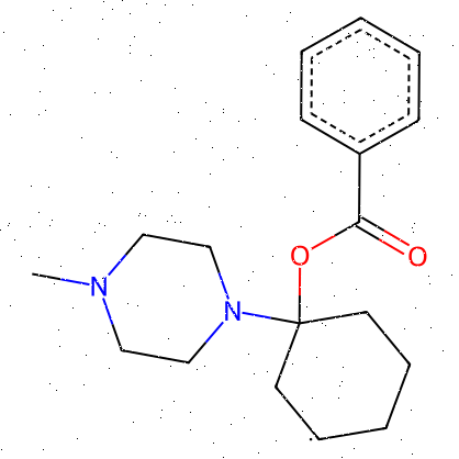 CN1CCN(C2(OC(=O)c3ccccc3)C[CH]CCC2)CC1